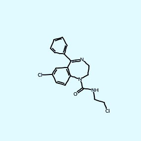 O=C(NCCCl)N1CCN=C(c2ccccc2)c2cc(Cl)ccc21